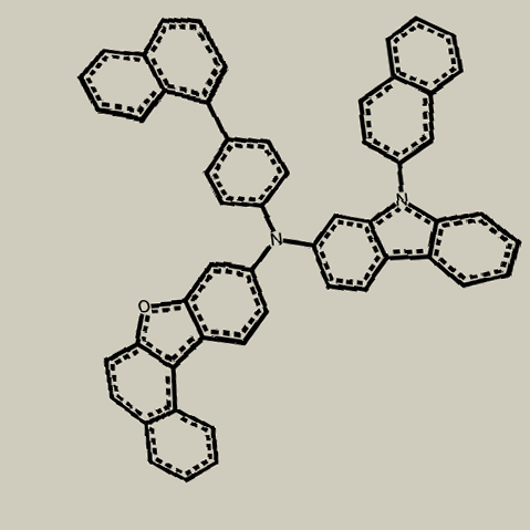 c1ccc2cc(-n3c4ccccc4c4ccc(N(c5ccc(-c6cccc7ccccc67)cc5)c5ccc6c(c5)oc5ccc7ccccc7c56)cc43)ccc2c1